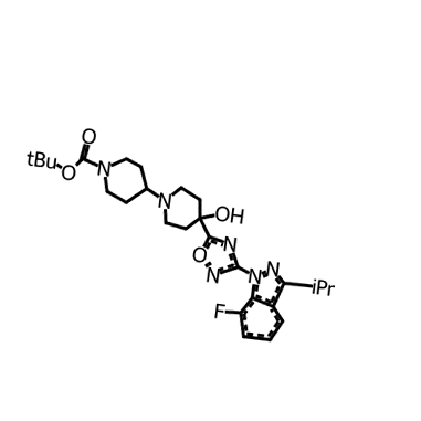 CC(C)c1nn(-c2noc(C3(O)CCN(C4CCN(C(=O)OC(C)(C)C)CC4)CC3)n2)c2c(F)cccc12